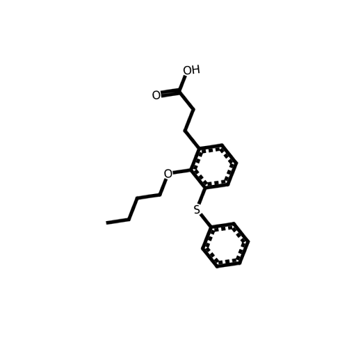 CCCCOc1c(CCC(=O)O)cccc1Sc1ccccc1